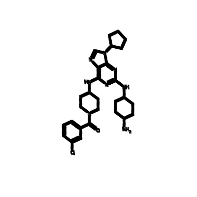 NC1CCC(Nc2nc(NC3CCN(C(=O)c4cccc(Cl)c4)CC3)c3ncn(C4CCCC4)c3n2)CC1